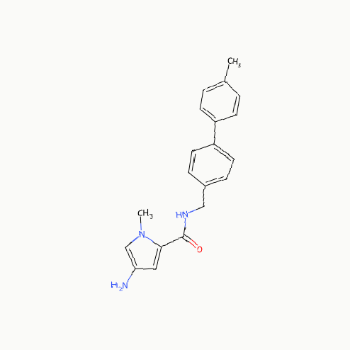 Cc1ccc(-c2ccc(CNC(=O)c3cc(N)cn3C)cc2)cc1